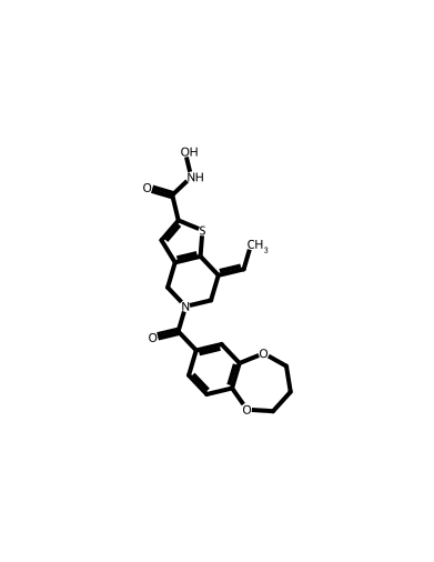 C/C=C1/CN(C(=O)c2ccc3c(c2)OCCCO3)Cc2cc(C(=O)NO)sc21